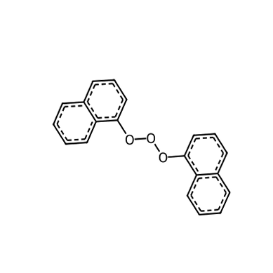 c1ccc2c(OOOc3cccc4ccccc34)cccc2c1